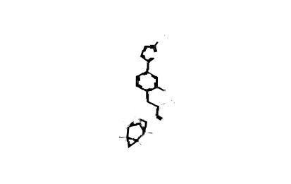 N#Cc1ccc(-c2ccc(C[C@@H](C#N)C(=O)[C@H]3N[C@H]4C[C@H]3[C@@H]3C[C@@H]34)c(F)c2)s1